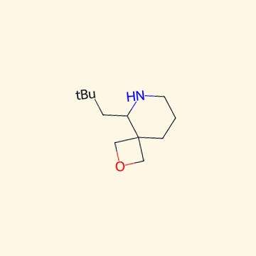 CC(C)(C)CC1NCCCC12COC2